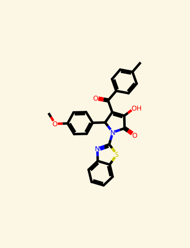 COc1ccc(C2C(C(=O)c3ccc(C)cc3)=C(O)C(=O)N2c2nc3ccccc3s2)cc1